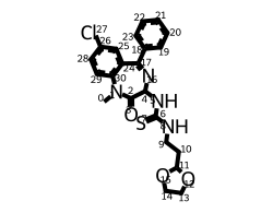 CN1C(=O)C(NC(=S)NCCC2OCCO2)N=C(c2ccccc2)c2cc(Cl)ccc21